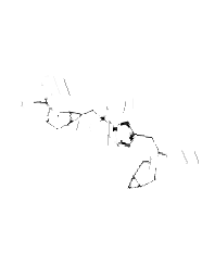 CC(Cc1cnn(C(C)(C)CC2C3CCN(C(C)C)C32)c1)N1CC2CC2C1